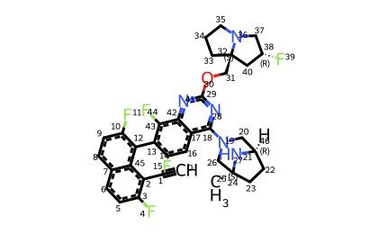 C#Cc1c(F)ccc2ccc(F)c(-c3c(F)cc4c(N5C[C@H]6CC[C@@](C)(C5)N6)nc(OC[C@@]56CCCN5C[C@H](F)C6)nc4c3F)c12